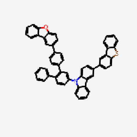 c1ccc(-c2ccc(-n3c4ccccc4c4cc(-c5ccc6sc7ccccc7c6c5)ccc43)cc2-c2ccc(-c3ccc4oc5ccccc5c4c3)cc2)cc1